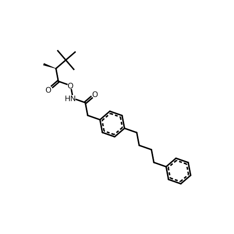 C[C@H](C(=O)ONC(=O)Cc1ccc(CCCCc2ccccc2)cc1)C(C)(C)C